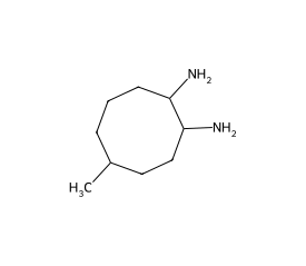 CC1CCCC(N)C(N)CC1